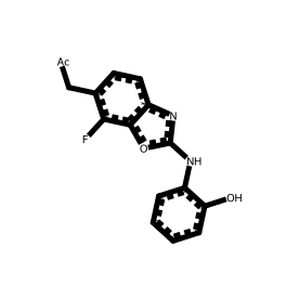 CC(=O)Cc1ccc2nc(Nc3ccccc3O)oc2c1F